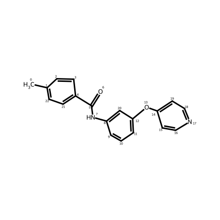 Cc1ccc(C(=O)Nc2cccc(Oc3ccncc3)c2)cc1